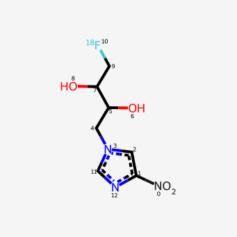 O=[N+]([O-])c1cn(CC(O)C(O)C[18F])cn1